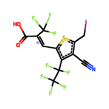 N#Cc1c(CI)sc(/C=C(/C(=O)O)C(F)(F)F)c1C(F)(F)C(F)(F)F